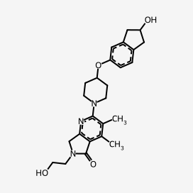 Cc1c(N2CCC(Oc3ccc4c(c3)CC(O)C4)CC2)nc2c(c1C)C(=O)N(CCO)C2